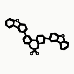 O=S1(=O)Cc2cc(-c3ccc4oc5ccccc5c4c3)ccc2-c2cc(-c3ccc4oc5ccccc5c4c3)ccc2C1